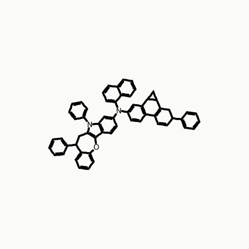 C1=CC(c2ccccc2)CC2=C1c1ccc(N(c3ccc4c5c(n(-c6ccccc6)c4c3)CC(c3ccccc3)c3ccccc3O5)c3cccc4ccccc34)cc1C1CC21